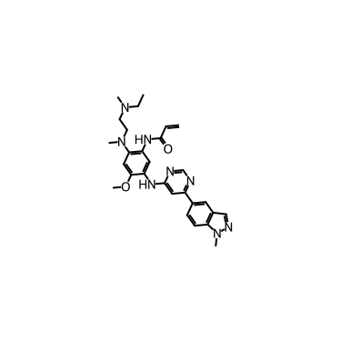 C=CC(=O)Nc1cc(Nc2cc(-c3ccc4c(cnn4C)c3)ncn2)c(OC)cc1N(C)CCN(C)CC